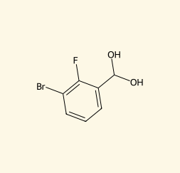 OC(O)c1cccc(Br)c1F